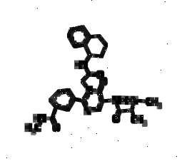 CNC(=O)c1cccc(-c2ncc(NC(=O)C(C)NC)c(=O)n2CC(=O)NC2CCCc3ccccc32)c1